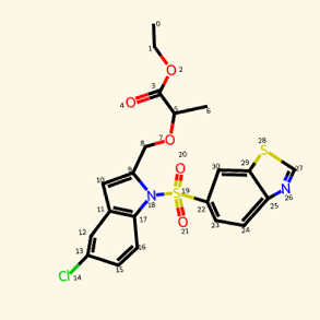 CCOC(=O)C(C)OCc1cc2cc(Cl)ccc2n1S(=O)(=O)c1ccc2ncsc2c1